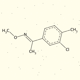 CO/N=C(\C)c1ccc(C)c(Cl)c1